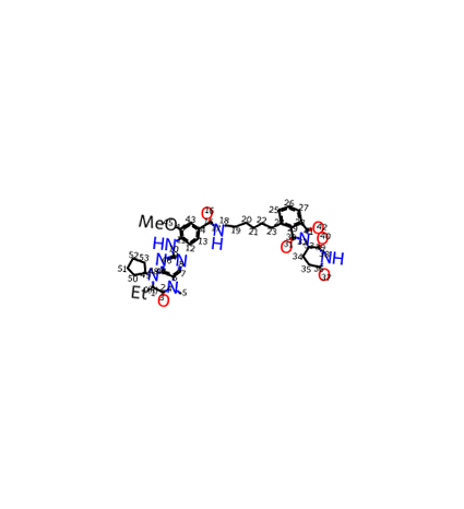 CC[C@@H]1C(=O)N(C)c2cnc(Nc3ccc(C(=O)NCCCCCCc4cccc5c4C(=O)N(C4CCC(=O)NC4=O)C5=O)cc3OC)nc2N1C1CCCC1